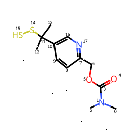 CN(C)C(=O)OCc1ccc(C(C)(C)SS)cn1